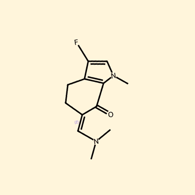 CN(C)/C=C1/CCc2c(F)cn(C)c2C1=O